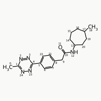 Cc1nnc(-c2ccc(CC(=O)NC3CCCC(C)CC3)cc2)nn1